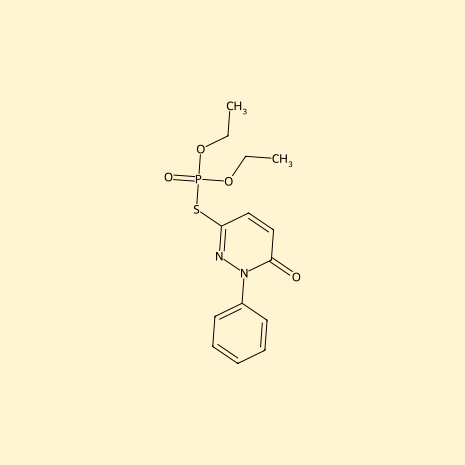 CCOP(=O)(OCC)Sc1ccc(=O)n(-c2ccccc2)n1